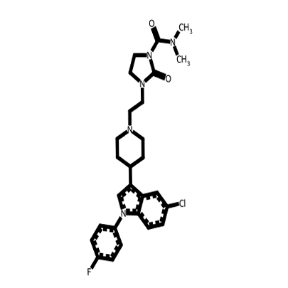 CN(C)C(=O)N1CCN(CCN2CCC(c3cn(-c4ccc(F)cc4)c4ccc(Cl)cc34)CC2)C1=O